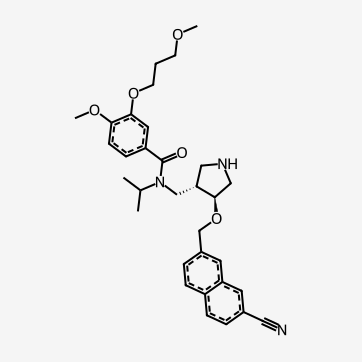 COCCCOc1cc(C(=O)N(C[C@@H]2CNC[C@H]2OCc2ccc3ccc(C#N)cc3c2)C(C)C)ccc1OC